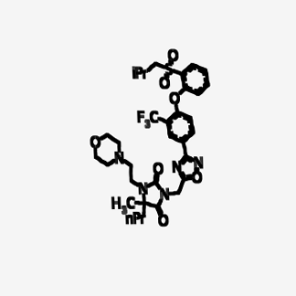 CCCC1(C)C(=O)N(Cc2nc(-c3ccc(Oc4ccccc4S(=O)(=O)CC(C)C)c(C(F)(F)F)c3)no2)C(=O)N1CCN1CCOCC1